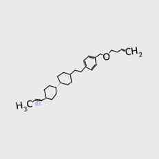 C=CCCOCc1ccc(CCC2CCC([C@H]3CC[C@H](/C=C/C)CC3)CC2)cc1